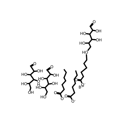 CCCCCCC(=O)[O-].CCCCCCC(=O)[O-].CCCCCCC(=O)[O-].O=CC(O)C(O)C(O)C(O)CO.O=CC(O)C(O)C(O)C(O)CO.O=CC(O)C(O)C(O)C(O)CO.[B+3]